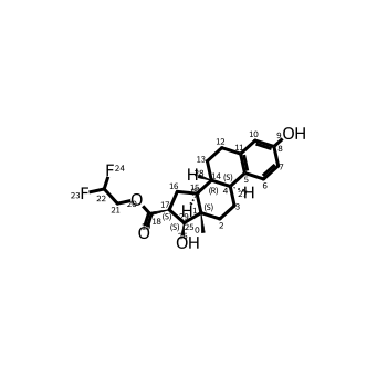 C[C@]12CC[C@@H]3c4ccc(O)cc4CC[C@H]3[C@@H]1C[C@H](C(=O)OCC(F)F)[C@@H]2O